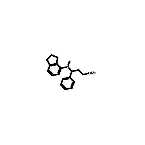 CNCCC(c1ccccc1)N(C)c1cccc2c1CCC2